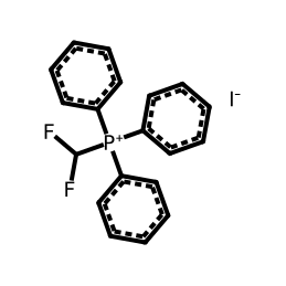 FC(F)[P+](c1ccccc1)(c1ccccc1)c1ccccc1.[I-]